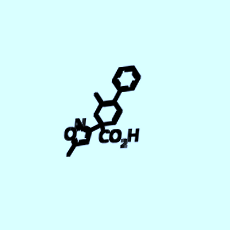 CC1=C(c2ccccc2)C=CC(C(=O)O)(c2cc(C)on2)C1